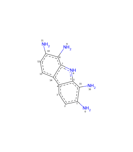 Nc1ccc2c([nH]c3c(N)c(N)ccc32)c1N